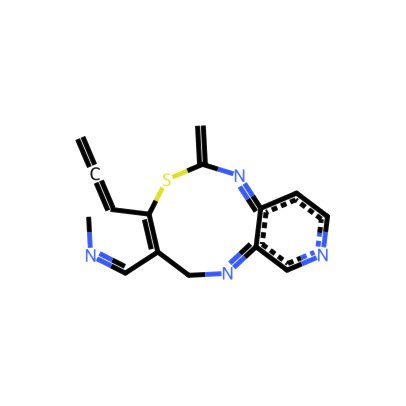 C=C=C/C1=C(\C=N/C)C/N=c2/cncc/c2=N/C(=C)S1